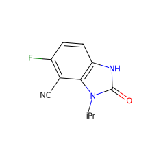 CC(C)n1c(=O)[nH]c2ccc(F)c(C#N)c21